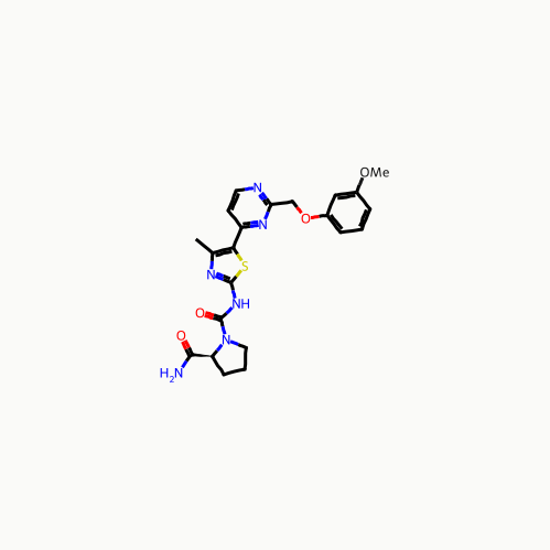 COc1cccc(OCc2nccc(-c3sc(NC(=O)N4CCC[C@H]4C(N)=O)nc3C)n2)c1